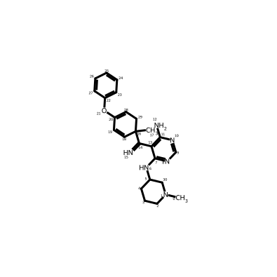 CN1CCCC(Nc2ncnc(N)c2C(=N)C2(C)C=CC(Oc3ccccc3)=CC2)C1